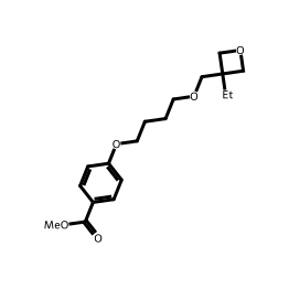 CCC1(COCCCCOc2ccc(C(=O)OC)cc2)COC1